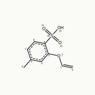 C=COc1cc(C)ccc1S(=O)(=O)O